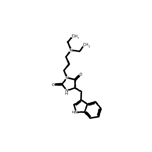 CCN(CC)CCCN1C(=O)NC(Cc2c[nH]c3ccccc23)C1=O